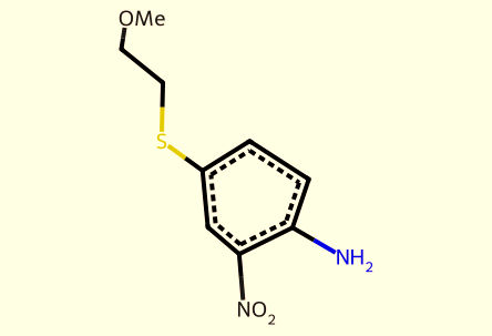 COCCSc1ccc(N)c([N+](=O)[O-])c1